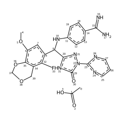 CC(=O)O.COc1cc(C(Nc2ccc(C(=N)N)cc2)c2nn(-c3ncccn3)c(=O)[nH]2)c(F)c2c1OCOC2